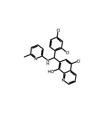 Cc1cccc(NC(c2ccc(Cl)cc2Cl)c2cc(Cl)c3cccnc3c2O)n1